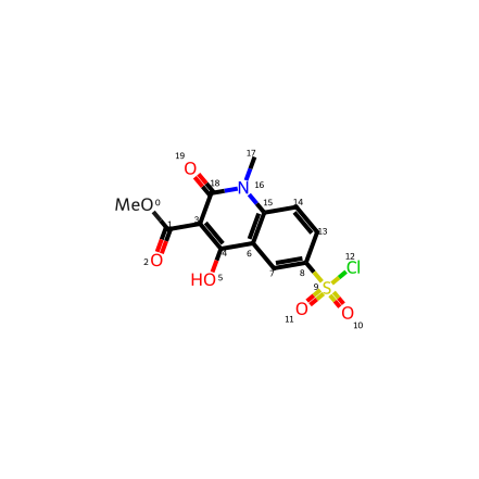 COC(=O)c1c(O)c2cc(S(=O)(=O)Cl)ccc2n(C)c1=O